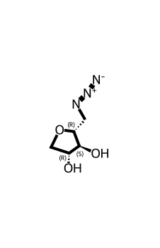 [N-]=[N+]=NC[C@H]1OC[C@@H](O)[C@@H]1O